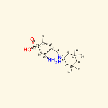 Cc1cc(CNC2CC(C)(C)CC(C)(C)C2)c(N)cc1C(=O)O